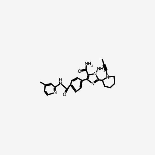 CC#CN1CCCCC1c1nc(-c2ccc(C(=O)Nc3cc(C)ccn3)cc2)c(C(N)=O)n1N